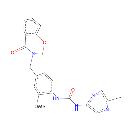 COc1cc(CN2COc3ccccc3C2=O)ccc1NC(=O)Nc1cnc(C)cn1